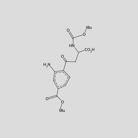 CC(C)(C)OC(=O)NC(CC(=O)c1ccc(C(=O)OC(C)(C)C)cc1N)C(=O)O